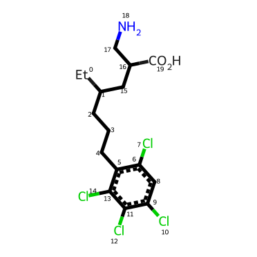 CCC(CCCc1c(Cl)cc(Cl)c(Cl)c1Cl)CC(CN)C(=O)O